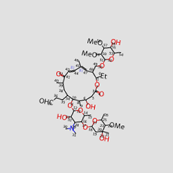 CCC1OC(=O)CC(O)C(C)C(OC2OC(C)C(OC3CC(C)(O)C(OC)C(C)O3)C(N(C)C)C2O)C(CCC=O)CC(C)C(=O)/C=C/C(C)=C/C1COC1OC(C)C(O)C(OC)C1OC